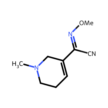 CON=C(C#N)C1=CCCN(C)C1